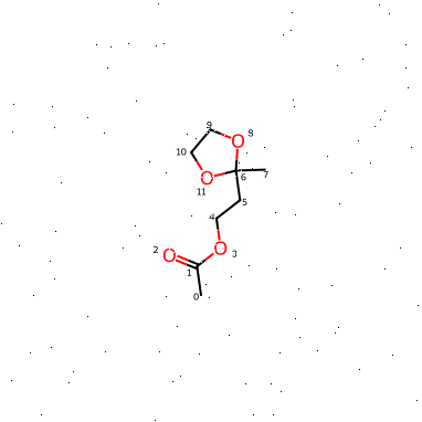 CC(=O)OCCC1(C)OCCO1